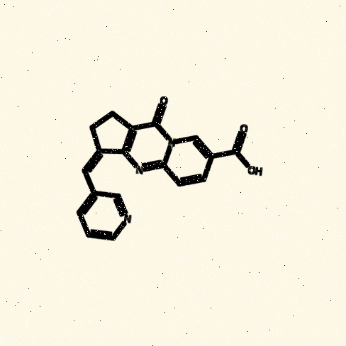 O=C(O)c1ccc2nc3c(c(=O)n2c1)CC/C3=C/c1cccnc1